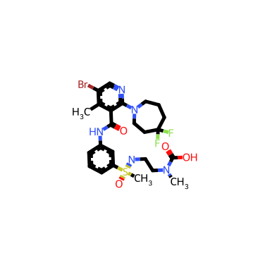 Cc1c(Br)cnc(N2CCCC(F)(F)CC2)c1C(=O)Nc1cccc(S(C)(=O)=NCCN(C)C(=O)O)c1